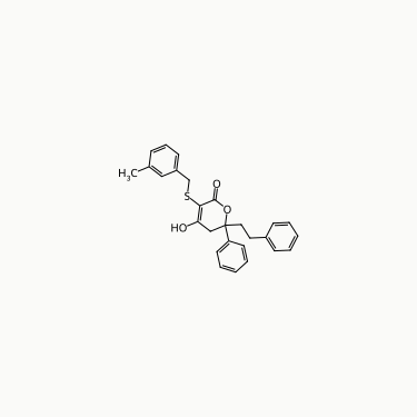 Cc1cccc(CSC2=C(O)CC(CCc3ccccc3)(c3ccccc3)OC2=O)c1